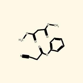 COC(=O)CC(=O)OC.N#CCC(=O)Oc1ccccc1